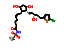 O=C(CCC/C=C\C[C@@H]1[C@@H](/C=C/[C@@H](O)CCc2ccc(Br)s2)[C@H](O)C[C@@H]1O)NS(=O)(=O)C(F)(F)F